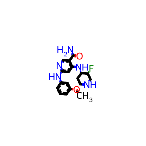 COc1cccc(Nc2cc(N[C@@H]3CCNC[C@@H]3F)c(C(N)=O)cn2)c1